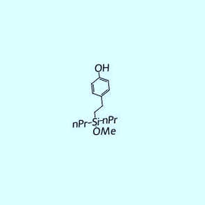 CCC[Si](CCC)(CCc1ccc(O)cc1)OC